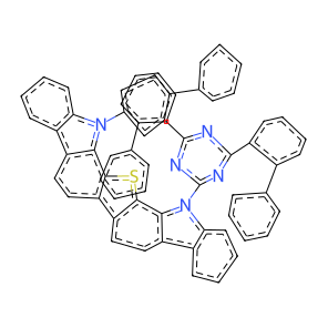 c1ccc(-c2ccc(-n3c4ccccc4c4ccc5c6ccc7c8ccccc8n(-c8nc(-c9ccccc9-c9ccccc9)nc(-c9ccccc9-c9ccccc9)n8)c7c6sc5c43)cc2)cc1